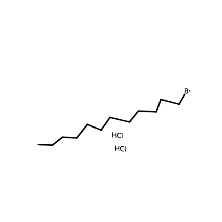 Cl.Cl.[B]CCCCCCCCCCCC